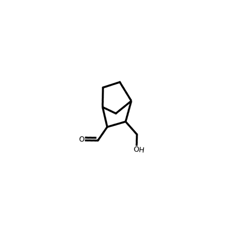 O=CC1C2CCC(C2)C1CO